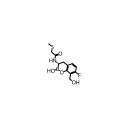 CSCC(=O)N[C@H]1Cc2ccc(F)c(CO)c2OB1O